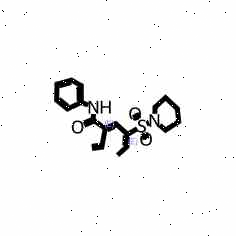 C=C/C(=C\C(=C/C)S(=O)(=O)N1CCCCC1)C(=O)Nc1ccccc1